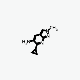 Cn1cc2cc(N)c(C3CC3)nc2n1